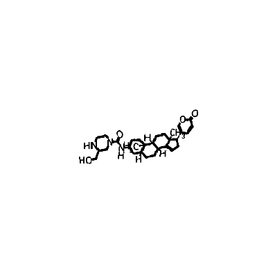 C[C@]12CC[C@H](NC(=O)N3CCNC(CO)C3)C[C@H]1CC[C@H]1C3=CC[C@H](c4ccc(=O)oc4)[C@@]3(C)CC[C@@H]12